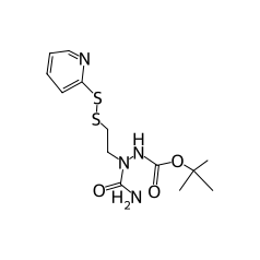 CC(C)(C)OC(=O)NN(CCSSc1ccccn1)C(N)=O